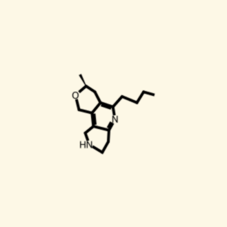 CCCCc1nc2c(c3c1C[C@H](C)OC3)CNCC2